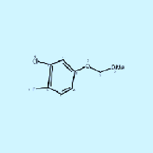 COCOc1ccc(F)c(Cl)c1